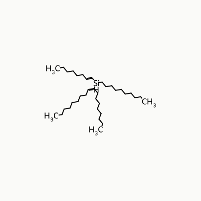 CCCCCCC=C[SiH](CCCCCCCCCC)C(=CCCCCCCCC)CCCCCCCC